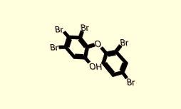 Oc1cc(Br)c(Br)c(Br)c1Oc1ccc(Br)cc1Br